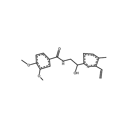 C=Cc1nc(C(O)CNC(=O)c2ccc(OC)c(OC)c2)ccc1C